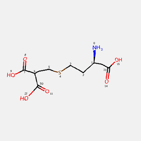 N[C@H](CCSCC(C(=O)O)C(=O)O)C(=O)O